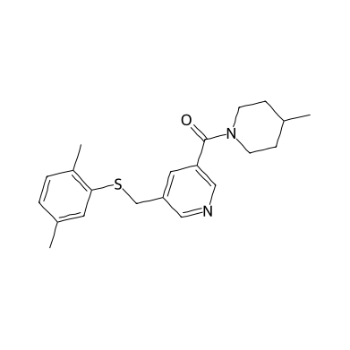 Cc1ccc(C)c(SCc2cncc(C(=O)N3CCC(C)CC3)c2)c1